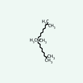 CC(C)CCCCCCC[N+](C)(C)CCCCCCCC(C)C